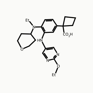 CCOc1ncc(Nc2cc(C3(C(=O)O)CCC3)ccc2N(CC)C2CCOCC2)cn1